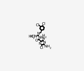 Cl.NC(=NCc1ccc(Cl)c(Cl)c1)NC(=O)c1nc(Cl)c(N)nc1N